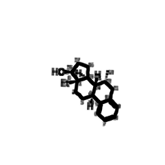 CC[C@]12CC[C@@H]3c4cc[c]cc4C[C@@H](C)[C@H]3[C@@H]1CC[C@@H]2O